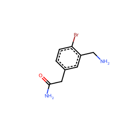 NCc1cc(CC(N)=O)ccc1Br